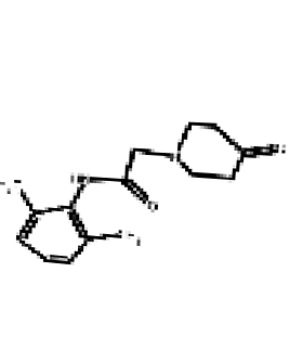 Cc1cccc(C)c1NC(=O)CN1CCC(=O)CC1